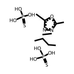 CC.CCCC.Cc1nnc(C)o1.OP(O)(O)=S.OP(O)(O)=S